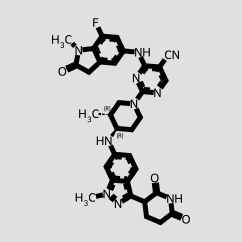 C[C@@H]1CN(c2ncc(C#N)c(Nc3cc(F)c4c(c3)CC(=O)N4C)n2)CC[C@H]1Nc1ccc2c(C3CCC(=O)NC3=O)nn(C)c2c1